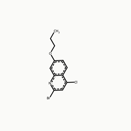 CCCOc1ccc2c(Cl)cc(Br)nc2c1